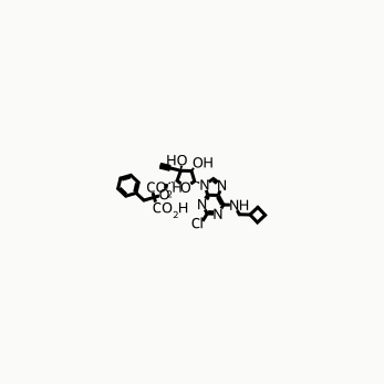 C#C[C@@]1(O)[C@@H](COC(Cc2ccccc2)(C(=O)O)C(=O)O)O[C@@H](n2cnc3c(NCC4CCC4)nc(Cl)nc32)[C@@H]1O